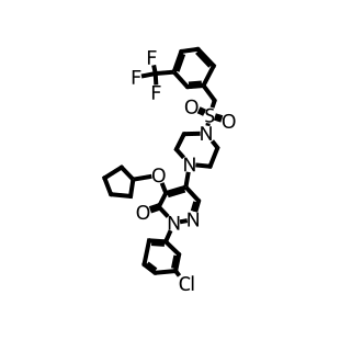 O=c1c(OC2CCCC2)c(N2CCN(S(=O)(=O)Cc3cccc(C(F)(F)F)c3)CC2)cnn1-c1cccc(Cl)c1